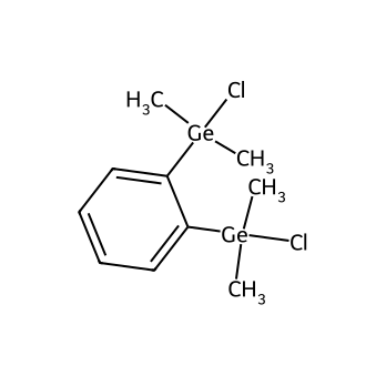 [CH3][Ge]([CH3])([Cl])[c]1cccc[c]1[Ge]([CH3])([CH3])[Cl]